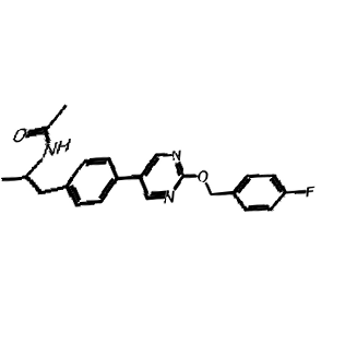 CC(=O)NC(C)Cc1ccc(-c2cnc(OCc3ccc(F)cc3)nc2)cc1